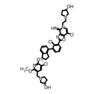 COc1nc(O[C@H]2CCc3c(-c4cccc(-c5nc6c(=N)n(CCN7CC[C@@H](O)C7)cc(Cl)c6o5)c4Cl)cccc32)c(Cl)cc1CN1CC[C@@H](O)C1